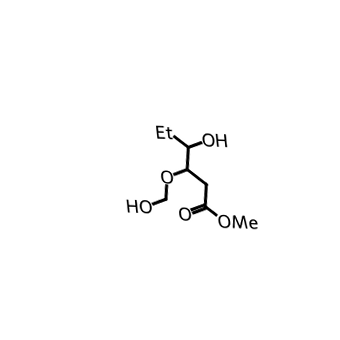 CCC(O)C(CC(=O)OC)OCO